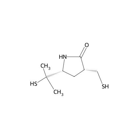 CC(C)(S)[C@H]1C[C@@H](CS)C(=O)N1